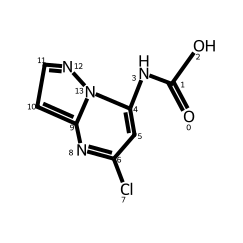 O=C(O)Nc1cc(Cl)nc2ccnn12